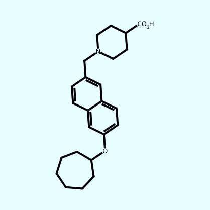 O=C(O)C1CCN(Cc2ccc3cc(OC4CCCCCC4)ccc3c2)CC1